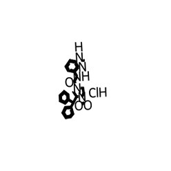 Cl.O=C(Nc1cccc2[nH]cnc12)N1CCN2C(=O)OC(c3ccccc3)(c3ccccc3)C2C1